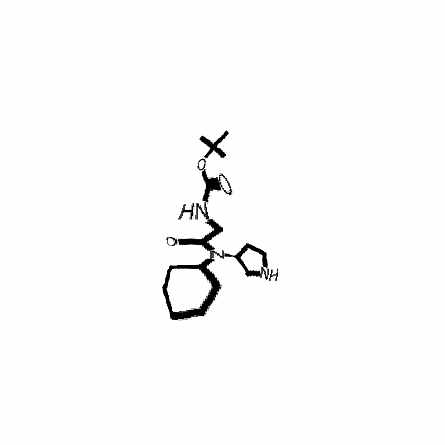 CC(C)(C)OC(=O)NCC(=O)N(C1CCCCC1)[C@H]1CCNC1